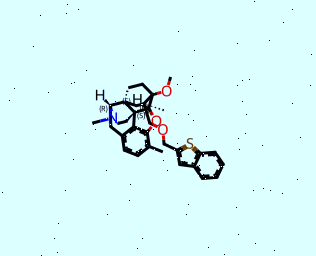 COC12CC[C@@]3(C[C@]1(C)COCc1cc4ccccc4s1)[C@H]1Cc4ccc(C)c5c4[C@@]3(CCN1C)[C@H]2O5